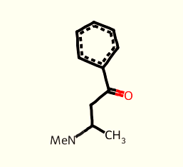 CNC(C)CC(=O)c1ccccc1